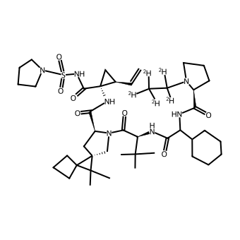 [2H]C([2H])([2H])C([2H])([2H])N1CCC[C@H]1C(=O)NC(C(=O)N[C@H](C(=O)N1C[C@]2(C[C@H]1C(=O)N[C@]1(C(=O)NS(=O)(=O)N3CCCC3)C[C@H]1C=C)C(C)(C)C21CCC1)C(C)(C)C)C1CCCCC1